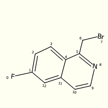 Fc1ccc2c(CBr)nccc2c1